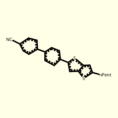 CCCCCc1cc2sc(-c3ccc(-c4ccc(C#N)cc4)cc3)cc2s1